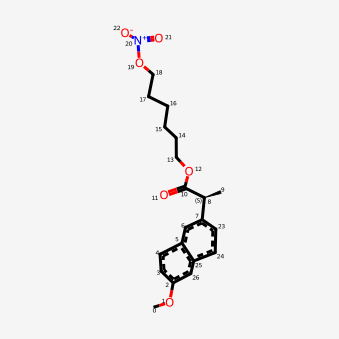 COc1ccc2cc([C@H](C)C(=O)OCCCCCCO[N+](=O)[O-])ccc2c1